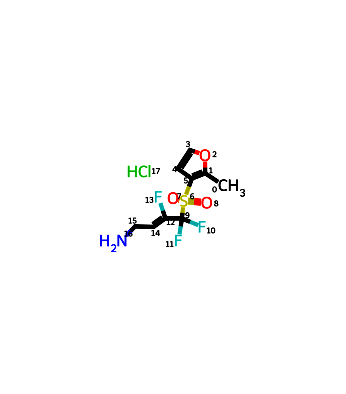 Cc1occc1S(=O)(=O)C(F)(F)/C(F)=C/CN.Cl